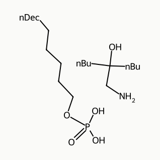 CCCCC(O)(CN)CCCC.CCCCCCCCCCCCCCCOP(=O)(O)O